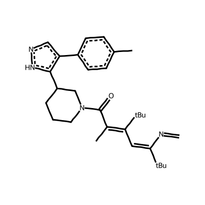 C=N/C(=C\C(=C(/C)C(=O)N1CCCC(c2[nH]ncc2-c2ccc(C)cc2)C1)C(C)(C)C)C(C)(C)C